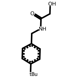 CC(C)(C)c1ccc(CNC(=O)CO)cc1